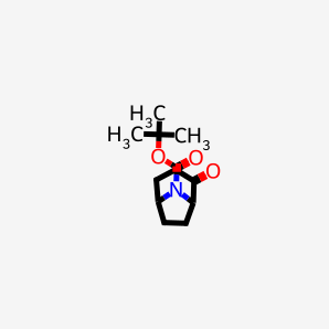 CC(C)(C)OC(=O)N1C2CCC(=O)C1CC2